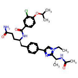 CCn1cc(-c2ccc(C[C@@H](CCC(N)=O)NC(=O)c3ccc(OC(C)C)c(Cl)c3)cc2)nc1[C@@H](C)NC(C)=O